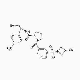 CC(C)C[C@@H](NC(=O)[C@H]1CCCN1C(=O)c1cccc(S(=O)(=O)N2CC(C#N)C2)c1)c1ccc(C(F)(F)F)cc1